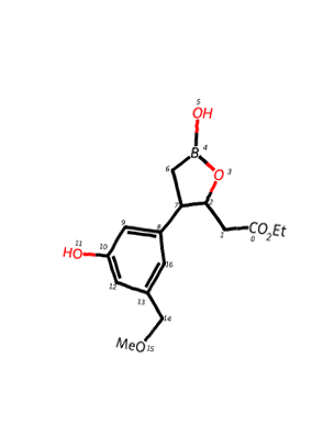 CCOC(=O)CC1OB(O)CC1c1cc(O)cc(COC)c1